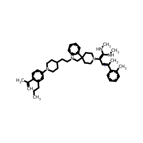 C=C(C)c1ccc(N2CCC(CCNCC3(c4ccccc4)CCN(C(/C=C(\C)c4ccccc4C)=C(NC)NC)CC3)CC2)cc1CCC